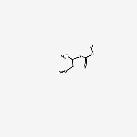 CCOC(=S)SC(C)COC